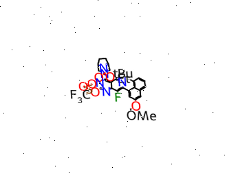 CCc1cccc2cc(OCOC)cc(-c3ncc4c(N5CC6CCC(C5)N6C(=O)OC(C)(C)C)nc(OS(=O)(=O)C(F)(F)F)nc4c3F)c12